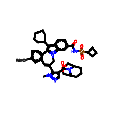 COc1ccc2c(c1)C=C(c1c(C(=O)N3C4CCCC3COC4)cnn1C)Cn1c-2c(C2CCCCC2)c2ccc(C(=O)NS(=O)(=O)C3CCC3)cc21